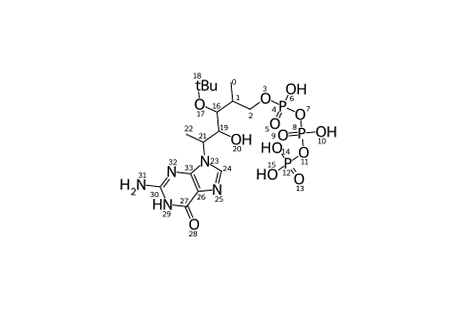 CC(COP(=O)(O)OP(=O)(O)OP(=O)(O)O)C(OC(C)(C)C)C(O)C(C)n1cnc2c(=O)[nH]c(N)nc21